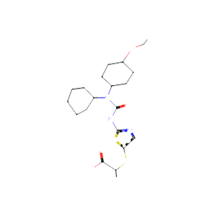 CCOC1CCC(N(C(=O)Nc2ncc(SC(C)C(=O)O)s2)C2CCCCC2)CC1